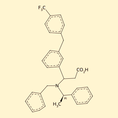 C[C@H](c1ccccc1)N(Cc1ccccc1)C(CC(=O)O)c1cccc(Cc2ccc(C(F)(F)F)cc2)c1